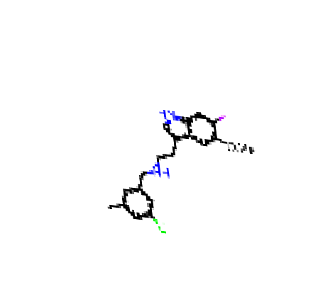 COc1cc2c(CCNCc3cc(C)cc(Cl)c3)c[nH]c2cc1I